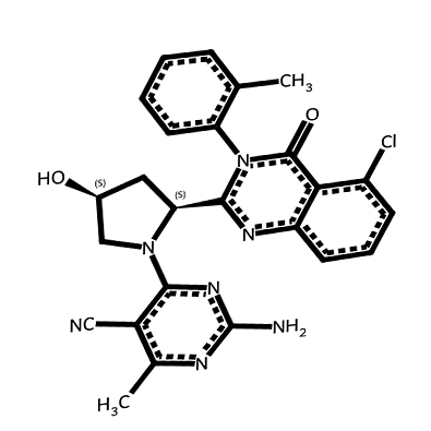 Cc1ccccc1-n1c([C@@H]2C[C@H](O)CN2c2nc(N)nc(C)c2C#N)nc2cccc(Cl)c2c1=O